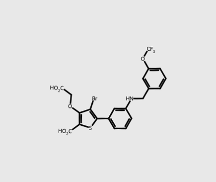 O=C(O)COc1c(C(=O)O)sc(-c2cccc(NCc3cccc(OC(F)(F)F)c3)c2)c1Br